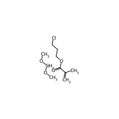 C=C(C)C(=O)OCCCCl.CO[SiH2]OC